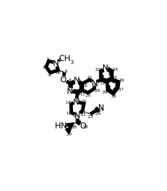 CN1CCC[C@H]1COc1nc2c(c(N3CCN(C(=O)[C@@H]4CN4)[C@@H](CC#N)C3)n1)CCN(c1cncc3ccccc13)C2